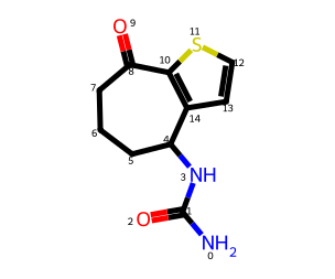 NC(=O)NC1CCCC(=O)c2sccc21